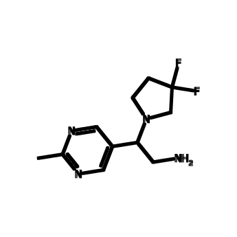 Cc1ncc(C(CN)N2CCC(F)(F)C2)cn1